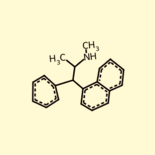 CNC(C)C(c1ccccc1)c1cccc2ccccc12